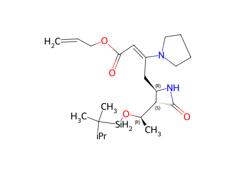 C=CCOC(=O)C=C(C[C@H]1NC(=O)[C@@H]1[C@@H](C)O[SiH2]C(C)(C)C(C)C)N1CCCC1